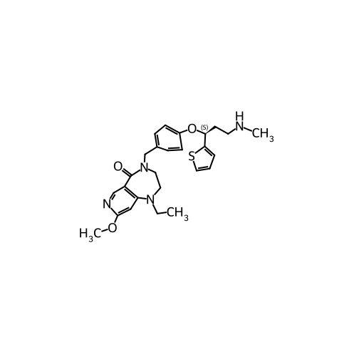 CCN1CCN(Cc2ccc(O[C@@H](CCNC)c3cccs3)cc2)C(=O)c2cnc(OC)cc21